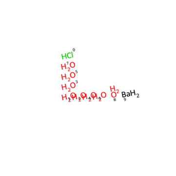 Cl.O.O.O.O.O.O.O.O.[BaH2]